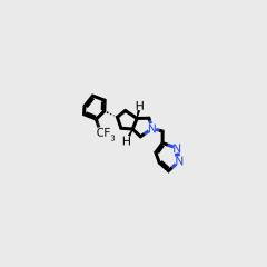 FC(F)(F)c1ccccc1[C@@H]1C[C@@H]2CN(Cc3cccnn3)C[C@@H]2C1